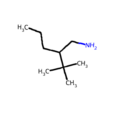 CCCC(CN)C(C)(C)C